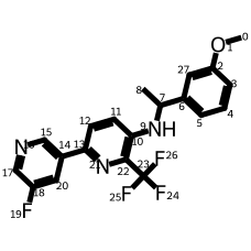 COc1cccc(C(C)Nc2ccc(-c3cncc(F)c3)nc2C(F)(F)F)c1